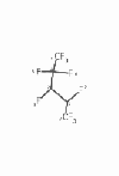 FC(C(F)C(F)(F)C(F)(F)F)C(F)(F)F